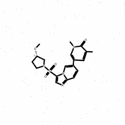 CO[C@H]1CCN(S(=O)(=O)c2cnc3ccc(-c4cc(C)c(=O)n(C)c4)cn23)C1